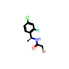 C[C@H](NC(=O)CBr)c1ccc(Cl)cc1F